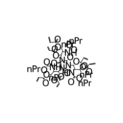 C=CC(=O)OC(CCC)C(NC(=O)OCCC)C(OC(=O)C=C)n1c(=O)n(C(OC(=O)C=C)C(NC(=O)OCCC)C(CCC)OC(=O)C=C)c(=O)n(C(OC(=O)C=C)C(NC(=O)OCCC)C(CCC)OC(=O)C=C)c1=O